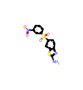 Nc1nc2ccc(S(=O)(=O)c3cccc([N+](=O)[O-])c3)cc2s1